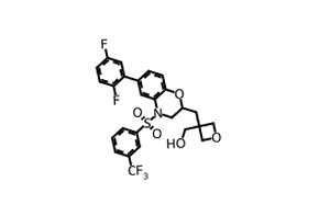 O=S(=O)(c1cccc(C(F)(F)F)c1)N1CC(CC2(CO)COC2)Oc2ccc(-c3cc(F)ccc3F)cc21